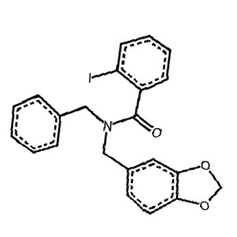 O=C(c1ccccc1I)N(Cc1ccccc1)Cc1ccc2c(c1)OCO2